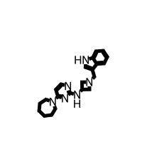 c1ccc2c(CN3CC(Nc4nccc(N5CCCCCC5)n4)C3)c[nH]c2c1